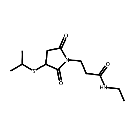 CCNC(=O)CCN1C(=O)CC(SC(C)C)C1=O